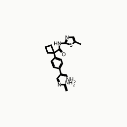 C=C(N)/N=C\C(=C/N)c1ccc(C2(C(=O)Nc3ncc(C)s3)CCC2)cc1